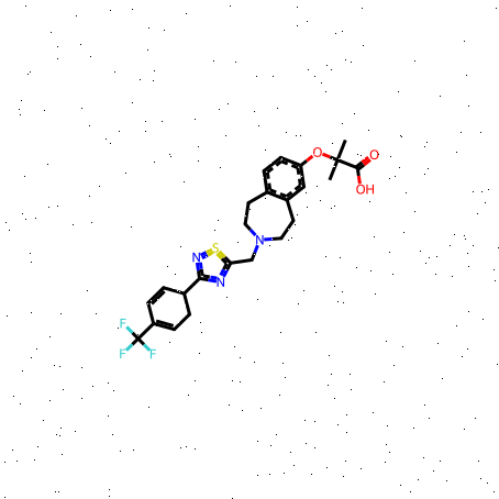 CC(C)(Oc1ccc2c(c1)CCN(Cc1nc(C3C=CC(C(F)(F)F)=CC3)ns1)CC2)C(=O)O